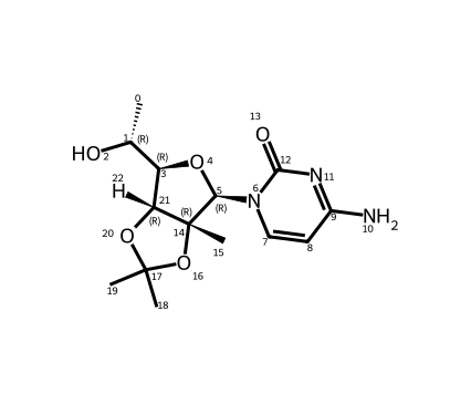 C[C@@H](O)[C@H]1O[C@@H](n2ccc(N)nc2=O)[C@]2(C)OC(C)(C)O[C@H]12